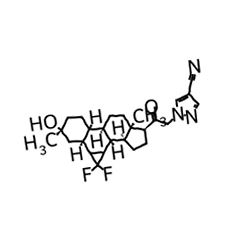 C[C@@]1(O)CC[C@@H]2[C@H]3CC[C@]4(C)[C@@H](C(=O)Cn5cc(C#N)cn5)CC[C@H]4[C@@H]3C3C([C@@H]2C1)C3(F)F